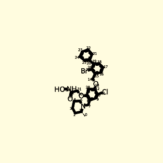 C[C@@H]1CCCCN1Cc1cc(Cl)c(OCc2cccc(-c3ccccc3)c2Br)cc1OCC(=O)NO